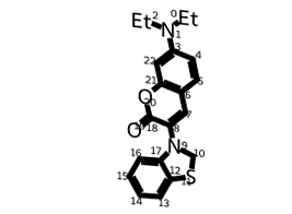 CCN(CC)c1ccc2cc(N3CSc4ccccc43)c(=O)oc2c1